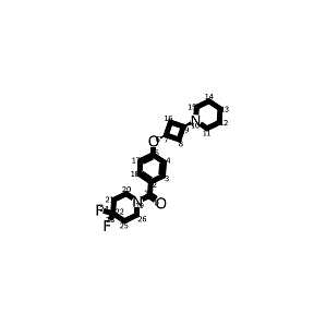 O=C(c1ccc(O[C@H]2C[C@H](N3CCCCC3)C2)cc1)N1CCC(F)(F)CC1